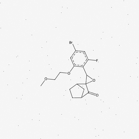 COCCOc1cc(Br)cc(F)c1C1OC12C(=O)C1CCC2C1